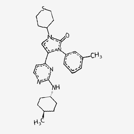 Cc1cccc(-n2c(-c3ccnc(N[C@H]4CC[C@H](C)CC4)n3)cn(C3CCSCC3)c2=O)c1